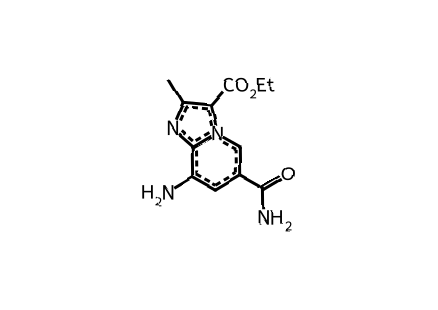 CCOC(=O)c1c(C)nc2c(N)cc(C(N)=O)cn12